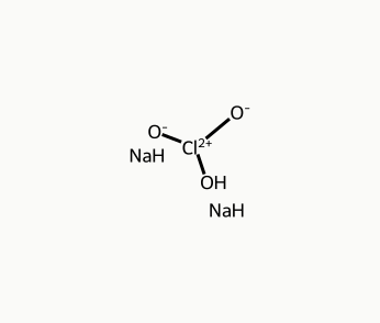 [NaH].[NaH].[O-][Cl+2]([O-])O